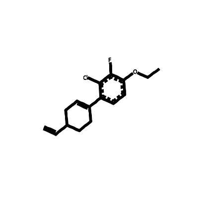 C=CC1CC=C(c2ccc(OCC)c(F)c2Cl)CC1